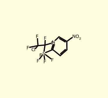 O=[N+]([O-])c1ccc(S(F)(F)(F)(F)C(F)(F)C(F)(F)Cl)nc1